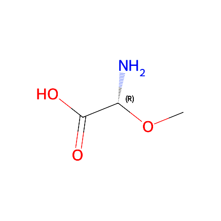 CO[C@@H](N)C(=O)O